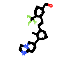 Cc1c(/C=C/c2cc(C=O)ccc2C(F)(F)F)cccc1-c1ccc2nccn2c1